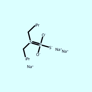 CC(C)CS(CC(C)C)=P([O-])([O-])[S-].[Na+].[Na+].[Na+]